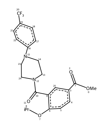 COC(=O)c1ccc(OC(C)C)c(C(=O)N2CCN(c3ccc(C(F)(F)F)cc3)CC2)c1